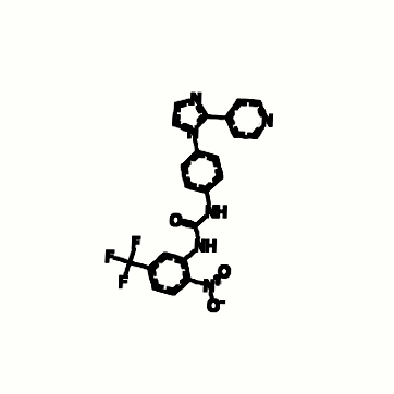 O=C(Nc1ccc(-n2ccnc2-c2ccncc2)cc1)Nc1cc(C(F)(F)F)ccc1[N+](=O)[O-]